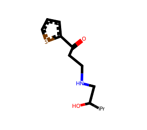 CC(C)C(O)CNCCC(=O)c1cccs1